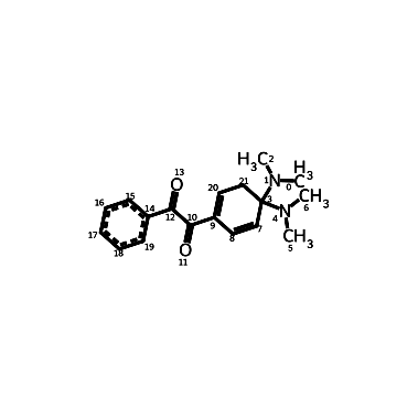 CN(C)C1(N(C)C)C=CC(C(=O)C(=O)c2ccccc2)=CC1